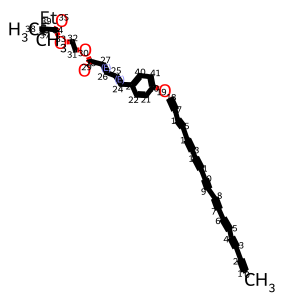 CC#CC#CC#CC#CC#CC#CC#CC#CC#COc1ccc(/C=C/C=C/C(=O)OCCOC(=O)C(C)(C)CC)cc1